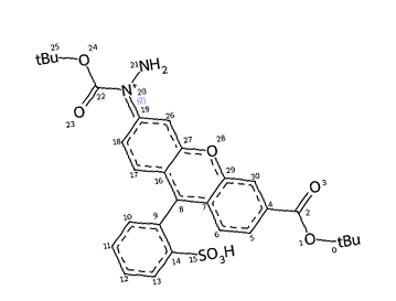 CC(C)(C)OC(=O)c1ccc2c(-c3ccccc3S(=O)(=O)O)c3cc/c(=[N+](/N)C(=O)OC(C)(C)C)cc-3oc2c1